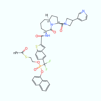 CCCC(=O)SCCOP(=O)(Oc1cccc2ccccc12)C(F)(F)c1ccc2sc(C(=O)N[C@H]3CCC[C@H]4CC[C@@H](C(=O)N5CC(c6cccnc6)C5)N4C3=O)cc2c1